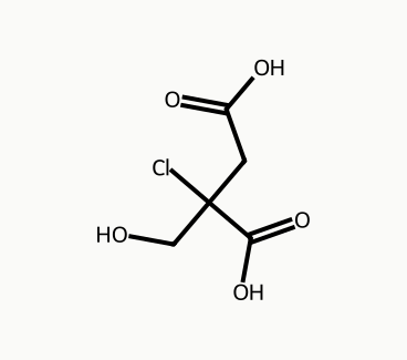 O=C(O)CC(Cl)(CO)C(=O)O